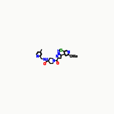 COc1cc(-c2cc(C(=O)N3CCC(C(=O)NCc4cc(C)ccn4)CC3)n[nH]2)c(Cl)cn1